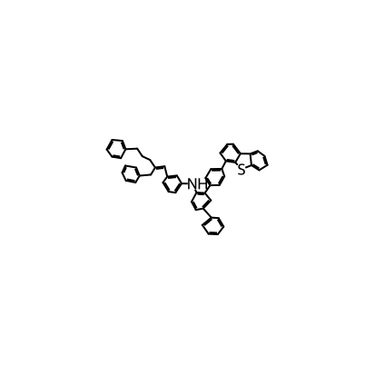 C(=C(\CCCc1ccccc1)Cc1ccccc1)/c1cccc(Nc2ccc(-c3ccccc3)cc2-c2ccc(-c3cccc4c3sc3ccccc34)cc2)c1